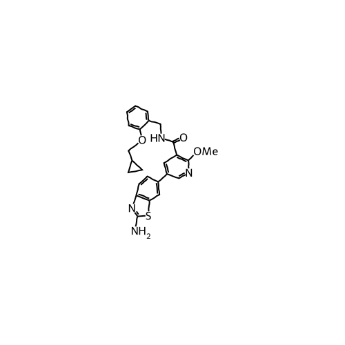 COc1ncc(-c2ccc3nc(N)sc3c2)cc1C(=O)NCc1ccccc1OCC1CC1